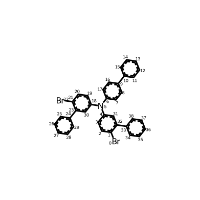 Brc1ccc(N(c2ccc(-c3ccccc3)cc2)c2ccc(Br)c(-c3ccccc3)c2)cc1-c1ccccc1